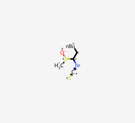 CCCCCC(N=C=S)[S+](C)[O-]